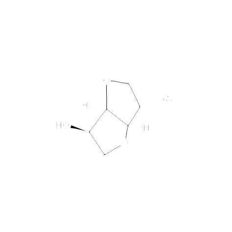 CC(=O)O[C@H]1CO[C@H]2[C@@H]1OC[C@H]2O